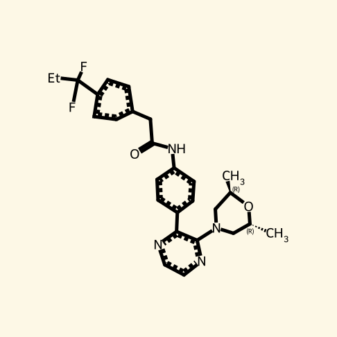 CCC(F)(F)c1ccc(CC(=O)Nc2ccc(-c3nccnc3N3C[C@@H](C)O[C@H](C)C3)cc2)cc1